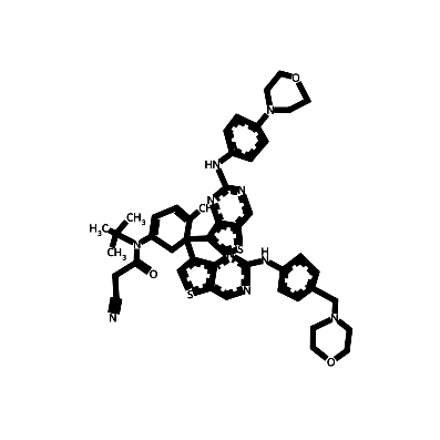 CC1=CC=C(N(C(=O)CC#N)C(C)(C)C)CC1(c1csc2cnc(Nc3ccc(CN4CCOCC4)cc3)nc12)c1csc2cnc(Nc3ccc(N4CCOCC4)cc3)nc12